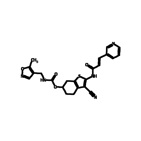 Cc1oncc1CNC(=O)OC1CCc2c(sc(NC(=O)C=Cc3cccnc3)c2C#N)C1